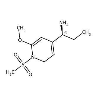 CC[C@H](N)C1=CCN(S(C)(=O)=O)C(OC)=C1